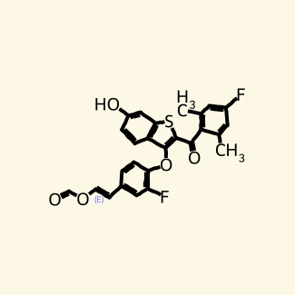 Cc1cc(F)cc(C)c1C(=O)c1sc2cc(O)ccc2c1Oc1ccc(/C=C/OC=O)cc1F